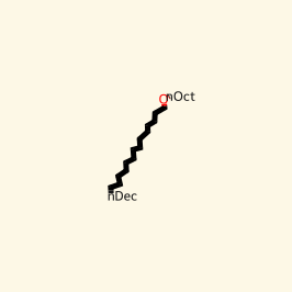 CCCCCCCCCCCCCCCCCCCCCCCCOCCCCCCCC